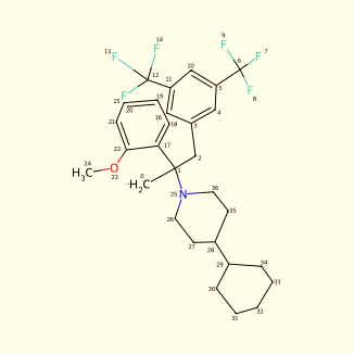 [CH2]C(Cc1cc(C(F)(F)F)cc(C(F)(F)F)c1)(c1ccccc1OC)N1CCC(C2CCCCC2)CC1